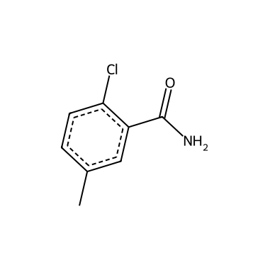 Cc1ccc(Cl)c(C(N)=O)c1